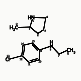 CC1CCCN1.CCNc1ccc(Cl)cc1